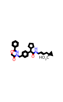 O=C(NCC=CCC1(C(=O)O)CC1)C(c1ccc(CN2N=C(c3ccccc3)OCC2=O)cc1)C1CCCC1